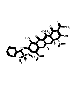 CCOP(=O)(OCC)C(Nc1cc(N(C)C)c2c(c1O)C(=O)C1=C(O)[C@@]3(O)C(=O)C(C(N)=O)=C(O)[C@H](N(C)C)[C@H]3C[C@H]1C2)c1ccccc1